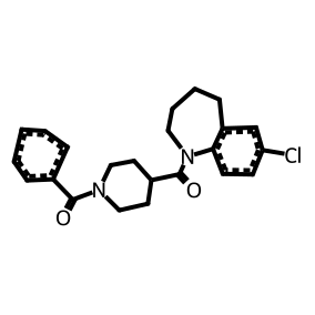 O=C(c1ccccc1)N1CCC(C(=O)N2CCCCc3cc(Cl)ccc32)CC1